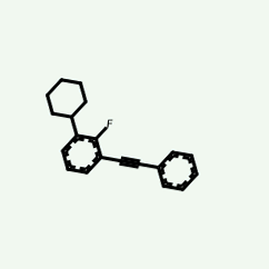 Fc1c(C#Cc2ccccc2)cccc1C1CCCCC1